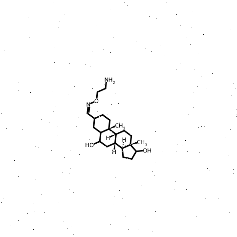 C[C@]12CCC(/C=N\OCCN)CC1C(O)C[C@@H]1[C@H]2CC[C@]2(C)C(O)CC[C@@H]12